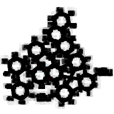 CC(C)(C)c1ccc2c(c1)C1(c3cc(C(C)(C)C)ccc3-2)c2ccccc2-c2c(N(c3ccccc3-c3ccccc3-c3ccccc3-c3ccccc3)c3cccc4c3ccc3ccccc34)cccc21